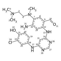 CN(C)CCN(C)c1cc(C=O)c(Nc2cc(Nc3ccc(O)c(Cl)c3)ncn2)cc1N